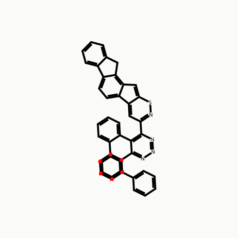 c1ccc(-c2ccccc2-c2nnnc(-c3cc4c5ccc6c(c5cc-4sn3)Cc3ccccc3-6)c2-c2ccccc2-c2ccccc2)cc1